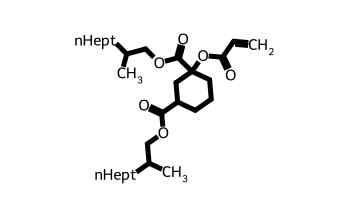 C=CC(=O)OC1(C(=O)OCC(C)CCCCCCC)CCCC(C(=O)OCC(C)CCCCCCC)C1